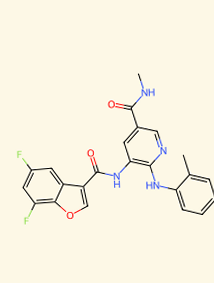 CNC(=O)c1cnc(Nc2ccccc2C)c(NC(=O)c2coc3c(F)cc(F)cc23)c1